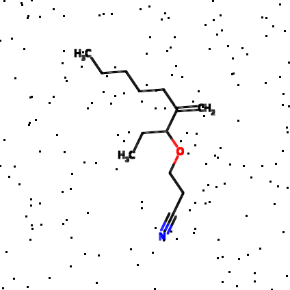 C=C(CCCCC)C(CC)OCCC#N